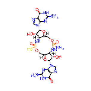 Nc1nc2c(ncn2[C@@H]2O[C@@H]3COP(=O)(S)N[C@H]4[C@@H](O)[C@H](n5cnc6c(=O)[nH]c(N)nc65)O[C@@H]4COP(N)(=O)N[C@H]3[C@H]2O)c(=O)[nH]1